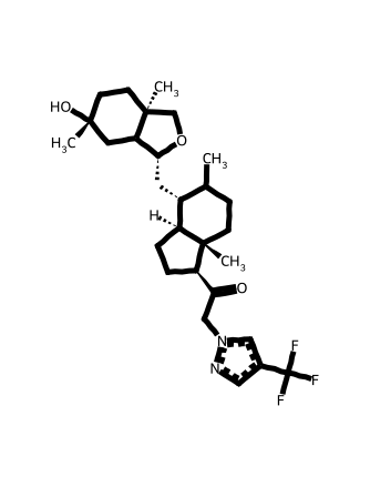 CC1CC[C@]2(C)[C@@H](C(=O)Cn3cc(C(F)(F)F)cn3)CC[C@H]2[C@@H]1C[C@H]1OC[C@]2(C)CC[C@@](C)(O)CC12